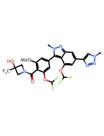 COc1cc(-c2c3c(OC(F)F)cc(-c4cn(C)nn4)cc3nn2C)cc(OC(F)F)c1C(=O)N1CC(O)(C(F)(F)F)C1